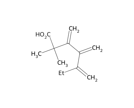 C=C(CC)C(=C)C(=C)C(C)(C)C(=O)O